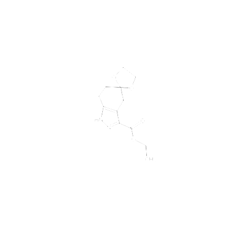 CCOC(=O)c1n[nH]c2c1CC1(CC2)OCCO1